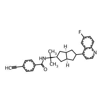 C#Cc1ccc(C(=O)NC(C)(C)[C@H]2C[C@H]3CC(c4ccnc5ccc(F)cc45)C[C@H]3C2)cc1